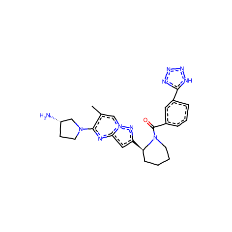 Cc1cn2nc([C@@H]3CCCCN3C(=O)c3cccc(-c4nnn[nH]4)c3)cc2nc1N1CC[C@H](N)C1